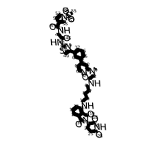 CN(CC(=O)NCCCCCNc1cccc2c1C(=O)N(C1CCC(=O)NC1=O)C2=O)c1cc(-c2cccc(-c3csc(NC(=O)CNC(=O)c4ccn(S(C)(=O)=O)c4)n3)c2)ccn1